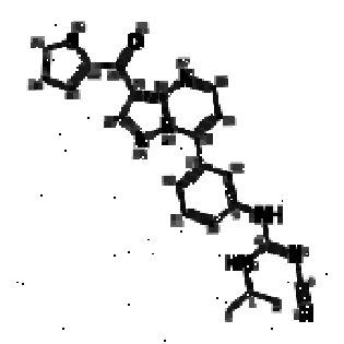 CC(C)N/C(=N\C#N)Nc1cccc(-c2ccnc3c(C(=O)c4cccs4)cnn23)c1